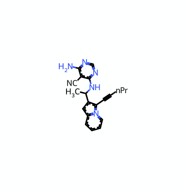 CCCC#Cc1c(C(C)Nc2ncnc(N)c2C#N)cc2ccccn12